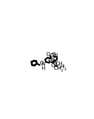 CC(C)(C)OC(=O)N1C[C@H](NOCc2ccccc2)CC[C@]1(C(=O)O)N1C(=O)CCC1=O